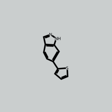 c1csc(-c2ccc3cn[nH]c3c2)c1